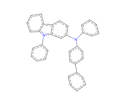 c1ccc(-c2ccc(N(c3ccccc3)c3ccc4c5ccccc5n(-c5ccccc5)c4c3)cc2)cc1